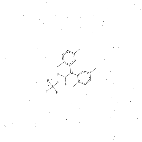 Cc1ccc(C)c([S+](c2cc(C)ccc2C)C(F)F)c1.F[B-](F)(F)F